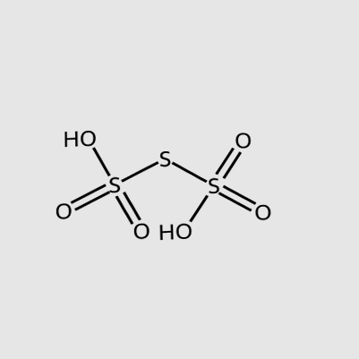 O=S(=O)(O)SS(=O)(=O)O